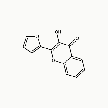 O=c1c(O)c(-c2ccco2)oc2ccccc12